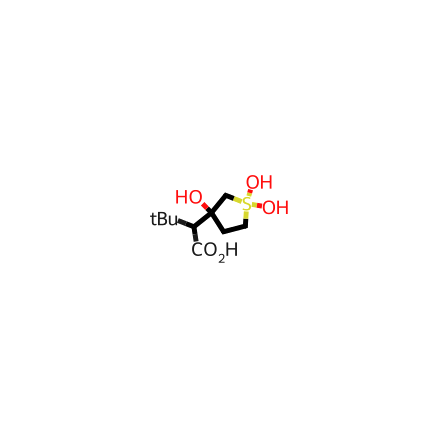 CC(C)(C)C(C(=O)O)C1(O)CCS(O)(O)C1